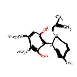 C=C(C)C[C@@H]1CCC(C)=C[C@H]1c1c(O)cc(CCCCC)c(C(=O)O)c1O